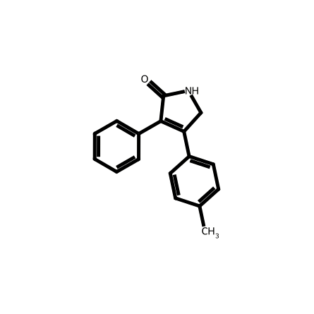 Cc1ccc(C2=C(c3ccccc3)C(=O)NC2)cc1